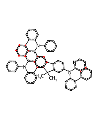 CC1(C)c2cc(N(c3cnccn3)c3ccccc3-c3ccccc3)ccc2-c2cc3c(N(c4ccccc4)c4ccccc4-c4ccccc4)c4ccccc4c(N(c4ccccc4)c4ccccc4-c4ccccc4)c3cc21